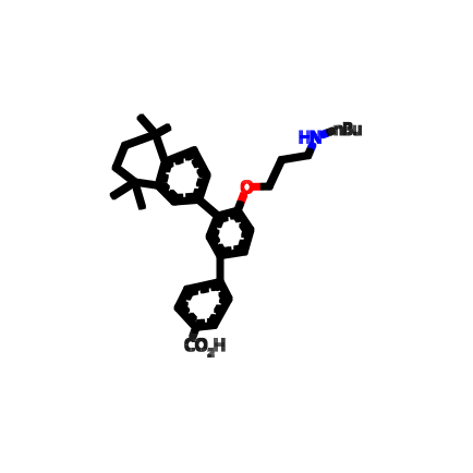 CCCCNCCCOc1ccc(-c2ccc(C(=O)O)cc2)cc1-c1ccc2c(c1)C(C)(C)CCC2(C)C